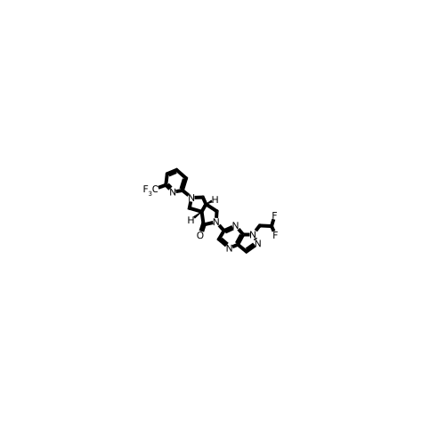 O=C1[C@@H]2CN(c3cccc(C(F)(F)F)n3)C[C@@H]2CN1c1cnc2cnn(CC(F)F)c2n1